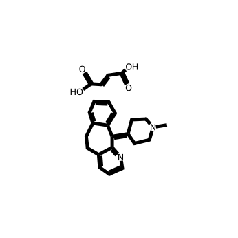 CN1CCC(=C2c3ccccc3CCc3cccnc32)CC1.O=C(O)C=CC(=O)O